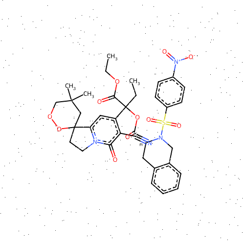 CCOC(=O)C(CC)(OC(=O)[C@H]1Cc2ccccc2CN1S(=O)(=O)c1ccc([N+](=O)[O-])cc1)c1cc2n(c(=O)c1C#N)CCC21CC(C)(C)COO1